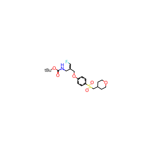 CC(C)(C)OC(=O)NC/C(=C\F)COc1ccc(S(=O)(=O)CC2CCOCC2)cc1